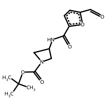 CC(C)(C)OC(=O)N1CC(NC(=O)c2ccc(C=O)o2)C1